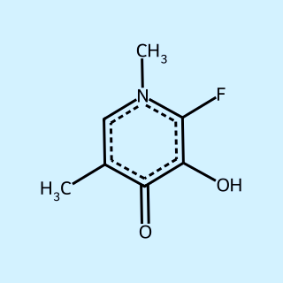 Cc1cn(C)c(F)c(O)c1=O